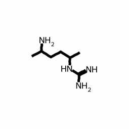 CC(N)CCC(C)NC(=N)N